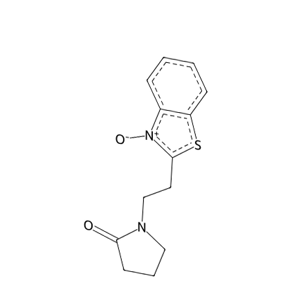 O=C1CCCN1CCc1sc2ccccc2[n+]1[O-]